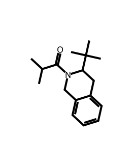 CC(C)C(=O)N1Cc2ccccc2CC1C(C)(C)C